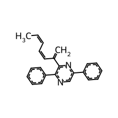 C=C(/C=C\C=C/C)c1nc(-c2ccccc2)cnc1-c1ccccc1